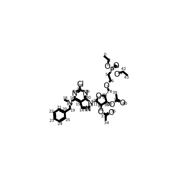 CCOP(=O)(CCOC[C@H]1O[C@@H](n2ncc3c(N(C)Cc4ccccc4)nc(Cl)nc32)[C@H](OC(C)=O)[C@@H]1OC(C)=O)OCC